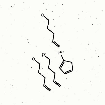 C=CCCC[O-].C=CCCC[O-].C=CCCC[O-].[Hf+3][C]1=CC=CC1